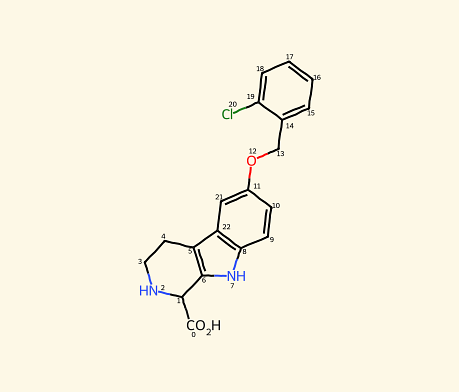 O=C(O)C1NCCc2c1[nH]c1ccc(OCc3ccccc3Cl)cc21